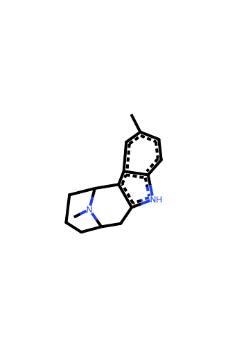 Cc1ccc2[nH]c3c(c2c1)C1CCCC(C3)N1C